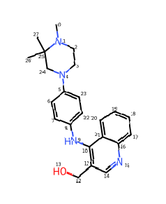 CN1CCN(c2ccc(Nc3c(CO)cnc4ccccc34)cc2)CC1(C)C